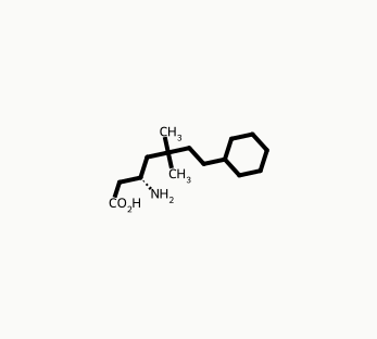 CC(C)(CCC1CCCCC1)C[C@H](N)CC(=O)O